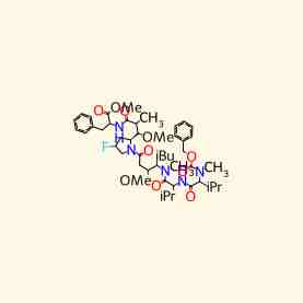 CCC(C)C(C(CC(=O)N1C[C@@H](F)C[C@H]1C(OC)C(C)C(=O)NC(Cc1ccccc1)C(=O)OC)OC)N(C)C(=O)C(NC(=O)C(C(C)C)N(C)C(=O)OCc1ccccc1)C(C)C